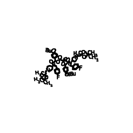 CC(C)COc1ccc(C(OC(=O)C(=O)OC(C(=O)N(Cc2ccc(F)cc2)C2CCN(CCC3(C)OCC(C)(C)CO3)CC2)c2ccc(OCC(C)C)cc2)C(=O)N(Cc2ccc(F)cc2)C2CCN(CCC3(C)OCC(C)(C)CO3)CC2)cc1